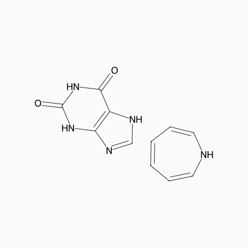 C1=CC=CNC=C1.O=c1[nH]c(=O)c2[nH]cnc2[nH]1